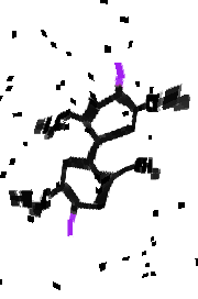 Cc1cc(-c2cc(C)c(I)cc2C)c(C)cc1I